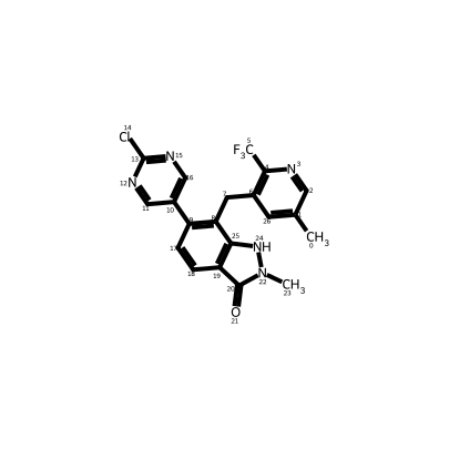 Cc1cnc(C(F)(F)F)c(Cc2c(-c3cnc(Cl)nc3)ccc3c(=O)n(C)[nH]c23)c1